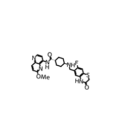 COc1ccc2nccc(NC(=O)[C@H]3CC[C@H](NCc4cc5c(cc4F)SCC(=O)N5)CC3)c2n1